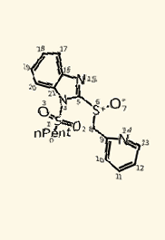 CCCCCS(=O)(=O)n1c([S+]([O-])Cc2ccccn2)nc2ccccc21